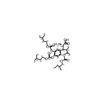 CCC(C)COC(=O)OC(C)C(C)C(c1ccc(OC(=O)OCCC(C)C)c(OC(=O)OCCC(C)C)c1)[C@H](N)C(=O)O